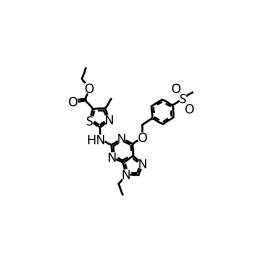 CCOC(=O)c1sc(Nc2nc(OCc3ccc(S(C)(=O)=O)cc3)c3ncn(CC)c3n2)nc1C